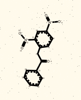 O=C(Cc1ccc([N+](=O)[O-])cc1[N+](=O)[O-])c1ccccc1